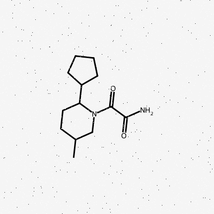 CC1CCC(C2CCCC2)N(C(=O)C(N)=O)C1